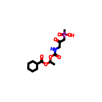 CC(OC(=O)NCC(=O)CP(C)(=O)O)OC(=O)C1CCCCC1